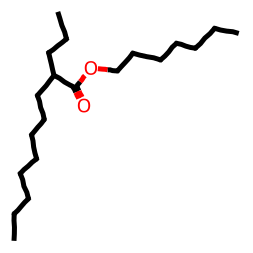 CCCCCCCCC(CCC)C(=O)OCCCCCCC